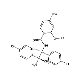 CCOc1cc(C(C)(C)C)ccc1C(=O)N[C@@](C)(c1ccc(Cl)cc1)[C@](C)(N)c1ccc(Cl)cc1